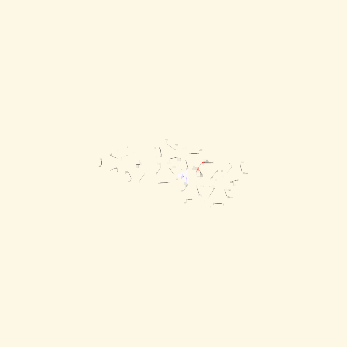 CC1(C)c2ccccc2-c2ccc(-c3ccc(N(c4ccccc4-c4ccccc4-c4ccccc4-c4ccccc4)c4cccc5sc6ccccc6c45)cc3)cc21